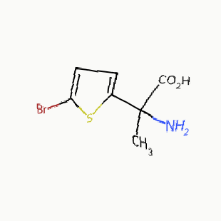 CC(N)(C(=O)O)c1ccc(Br)s1